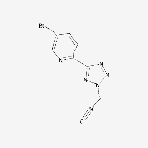 [C-]#[N+]Cn1nnc(-c2ccc(Br)cn2)n1